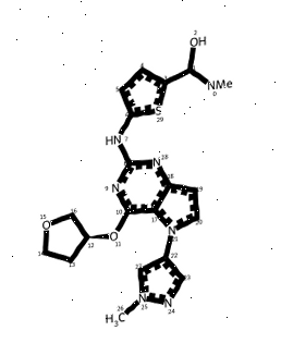 CNC(O)c1ccc(Nc2nc(O[C@H]3CCOC3)c3c(ccn3-c3cnn(C)c3)n2)s1